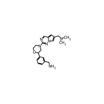 CN(C)Cc1cc2cnc(N3CCOC(c4cccc(CN)c4)C3)nn2c1